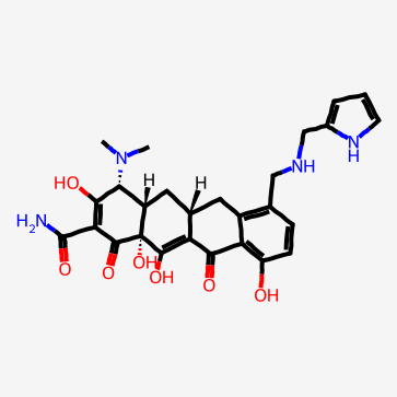 CN(C)[C@H]1C(O)=C(C(N)=O)C(=O)[C@]2(O)C(O)=C3C(=O)c4c(O)ccc(CNCc5ccc[nH]5)c4C[C@H]3C[C@@H]12